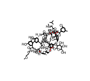 CN[C@H](CC(C)C)C(=O)N[C@H]1C(=O)N[C@@H](CC(N)=O)C(=O)NC2C(=O)N[C@H]3C(=O)N[C@H](C(=O)N[C@@H](C(=O)NOCCOC)c4cc(O)cc(O)c4-c4cc3ccc4O)[C@H](O)c3ccc(c(Cl)c3)Oc3cc2cc(c3O[C@@H]2O[C@H](CO)[C@@H](O)[C@H](O)[C@H]2O[C@H]2C[C@](C)(NCCn3ccc(NC(=O)c4cc(C)cc(Cl)c4)nc3=O)[C@H](O)[C@H](C)O2)Oc2ccc(cc2Cl)[C@H]1O